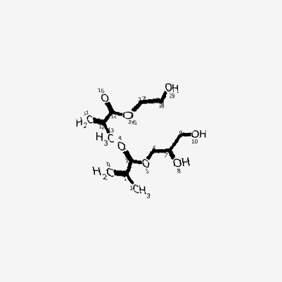 C=C(C)C(=O)OCC(O)CO.C=C(C)C(=O)OCCO